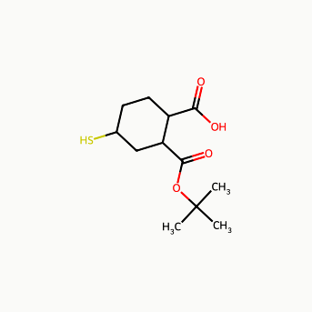 CC(C)(C)OC(=O)C1CC(S)CCC1C(=O)O